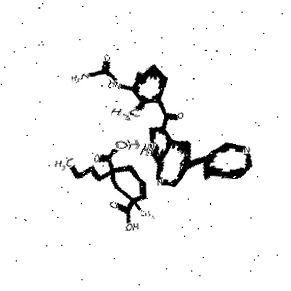 CCCCC1(C(=O)O)CC=CC(C)(C(=O)O)C1.Cc1c(NC(N)=O)cccc1C(=O)c1c[nH]c2ncc(-c3cccnc3)cc12